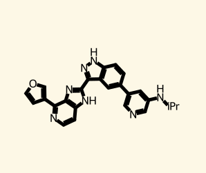 CC(C)Nc1cncc(-c2ccc3[nH]nc(-c4nc5c(-c6ccoc6)nccc5[nH]4)c3c2)c1